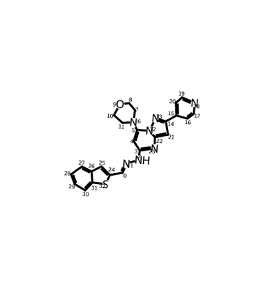 C(=NNc1cc(N2CCOCC2)n2nc(-c3ccncc3)cc2n1)c1cc2ccccc2s1